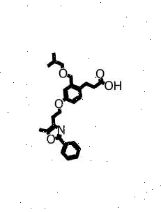 Cc1oc(-c2ccccc2)nc1CCOc1ccc(CCC(=O)O)c(COCC(C)C)c1